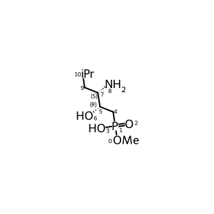 COP(=O)(O)C[C@H](O)[C@@H](N)CC(C)C